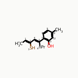 C/C=C(S)/C=C(\CCC)c1ccc(C)cc1O